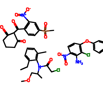 CCc1cccc(C)c1N(C(=O)CCl)C(C)COC.CS(=O)(=O)c1ccc(C(=O)C2C(=O)CCCC2=O)c([N+](=O)[O-])c1.Nc1c([N+](=O)[O-])ccc(Oc2ccccc2)c1Cl